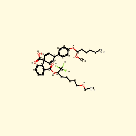 CCCCCC(OC)Oc1ccc(C2C=CC(C(=O)O)(c3ccccc3C(=O)OC(CCCCCOCC)C(F)(F)F)C=C2)cc1